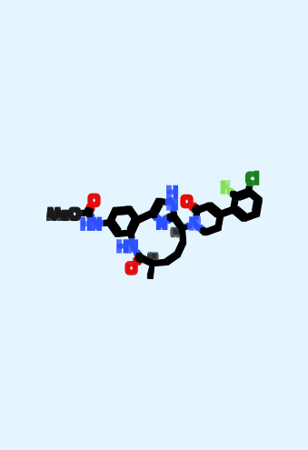 COC(=O)Nc1ccc2c(c1)NC(=O)[C@H](C)CCC[C@H](N1CCC(c3cccc(Cl)c3F)=CC1=O)c1nc-2c[nH]1